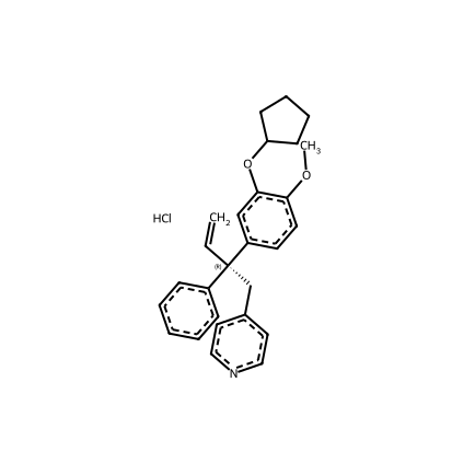 C=C[C@](Cc1ccncc1)(c1ccccc1)c1ccc(OC)c(OC2CCCC2)c1.Cl